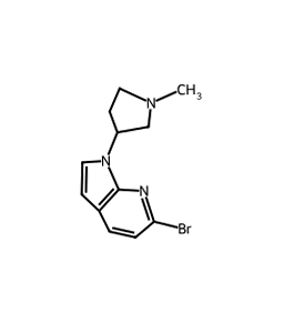 CN1CCC(n2ccc3ccc(Br)nc32)C1